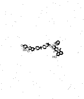 CCc1cccc2cc(O)cc(-c3ncc4c(N5CC6CCC(C5)N6)nc(OCC5(CN6CCN(C(C)(C)C7CCN(c8ccc9c(c8)CN(C8CCC(=O)NC8=O)C9=O)CC7)CC6)CC5)nc4c3F)c12